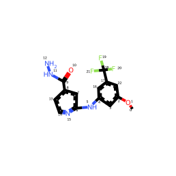 COc1cc(Nc2cc(C(=O)NN)ccn2)cc(C(F)(F)F)c1